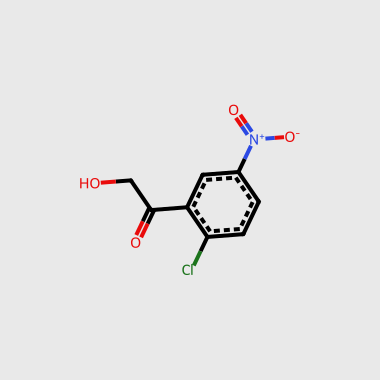 O=C(CO)c1cc([N+](=O)[O-])ccc1Cl